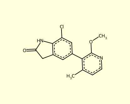 COc1nccc(C)c1-c1cc(Cl)c2c(c1)CC(=O)N2